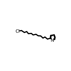 ClCCCCCCCCCCCCc1ccccn1